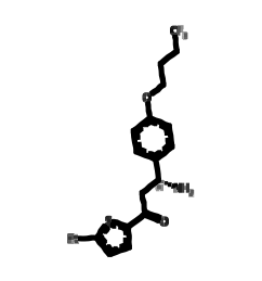 CCc1ccc(C(=O)C[C@@H](N)c2ccc(OCCCC(F)(F)F)cc2)s1